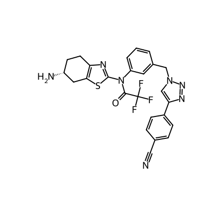 N#Cc1ccc(-c2cn(Cc3cccc(N(C(=O)C(F)(F)F)c4nc5c(s4)C[C@H](N)CC5)c3)nn2)cc1